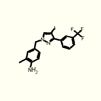 Cc1cc(Cn2cc(I)c(-c3cccc(C(F)(F)F)c3)n2)ccc1N